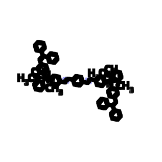 Cc1cccc(C(C)(C)C)c1N(c1ccc(C=C(c2ccccc2)c2ccccc2)cc1)c1ccc(/C=C/c2ccc(/C=C/c3ccc(N(c4ccc(CC(c5ccccc5)c5ccccc5)cc4)c4c(C)cccc4C(C)(C)C)cc3)cc2)cc1